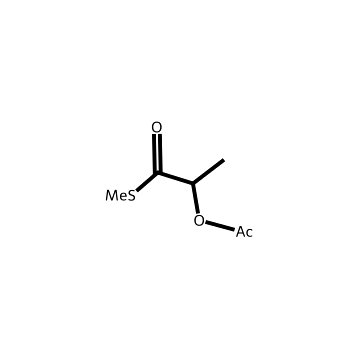 CSC(=O)C(C)OC(C)=O